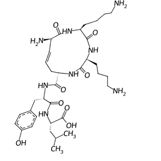 CC(C)C[C@H](NC(=O)[C@H](Cc1ccc(O)cc1)NC(=O)[C@@H]1C/C=C/[C@@H](N)C(=O)N[C@@H](CCCCN)C(=O)N[C@@H](CCCCN)C(=O)N1)C(=O)O